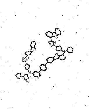 c1ccc(-c2cncc(N(c3ccc(-c4nsc(-c5ccc6c(c5)oc5ccccc56)n4)cc3)c3cncc(-c4ccc(-c5ccc6oc7c(N(c8ccccc8)c8ccc(-c9nsc(-c%10cccc%11c%10oc%10ccccc%10%11)n9)cc8)cccc7c6c5)cc4)c3)c2)cc1